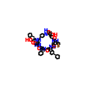 O=C1C[C@@H](O)C(=O)Nc2ccc(cc2)C[C@H](C(=O)N[C@@H](Cc2ccccc2)C(=O)O)NC(=O)[C@H](Cc2ccccc2)NC(=O)[C@@H](Cc2ccc(-c3ccccc3)cc2)NC(=O)[C@H](Cc2cccs2)N1